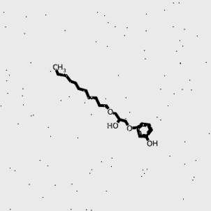 CCCCCCCCCCCOCC(O)COc1cccc(O)c1